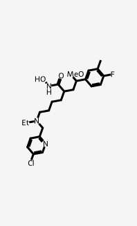 CCN(CCCCC(CC(OC)c1ccc(F)c(C)c1)C(=O)NO)Cc1ccc(Cl)cn1